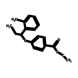 CCOC(=O)c1ccc(OC(CC)c2ccccc2C)cc1